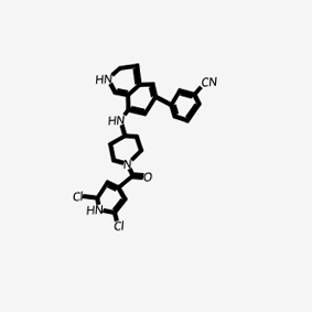 N#Cc1cccc(-c2cc(NC3CCN(C(=O)C4=CC(Cl)NC(Cl)=C4)CC3)c3c(c2)=CCNC=3)c1